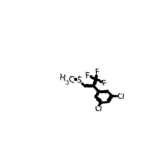 CSC=C(c1cc(Cl)cc(Cl)c1)C(F)(F)F